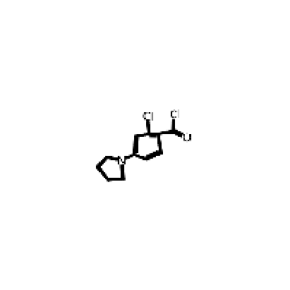 O=C(Cl)c1ccc(N2CCCC2)cc1Cl